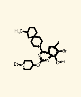 CCOc1c(Br)c(I)cc2c(N3CCC4(CCCC(C)C4)CC3)nc(OC3CCN(CC)CC3)nc12